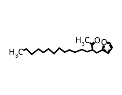 CCCCCCCCCCCCCC(Cc1ccco1)C(C)=O